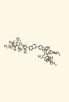 COC(=O)N[C@H](C(=O)N1CCC[C@H]1c1ncc(-c2ccc3cc(-c4ccc(-c5cnc([C@@H]6C[C@@H](N)CN6C(=O)[C@@H](NC(=O)OC)C(C)C)[nH]5)cc4)ccc3c2)[nH]1)C(C)C